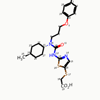 COc1ccc(OCCCN(C(=O)Nc2ncc(SCC(=O)O)s2)[C@H]2CC[C@H](C)CC2)cc1